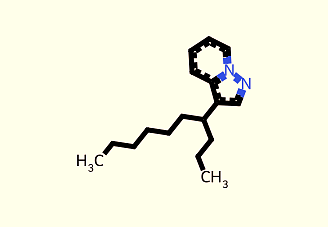 CCCCCCC(CCC)c1cnn2ccccc12